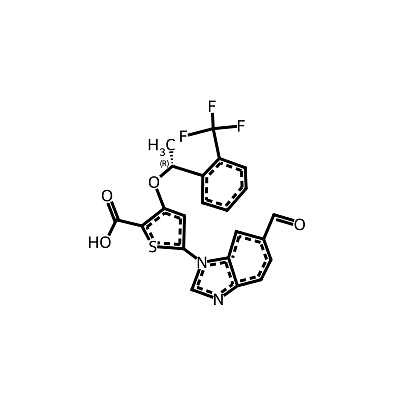 C[C@@H](Oc1cc(-n2cnc3ccc(C=O)cc32)sc1C(=O)O)c1ccccc1C(F)(F)F